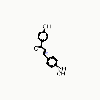 O=C(/C=C/c1ccc(NO)cc1)c1ccc(O)cc1